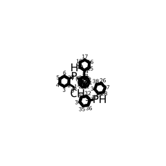 CCc1ccccc1P[C@@]12[CH]3[CH]4[CH]5[C]1(c1ccccc1)[Fe]45321678[CH]2[CH]1[CH]6[CH]7[CH]28.c1ccc(Pc2ccccc2)cc1